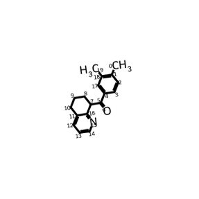 Cc1ccc(C(=O)C2CCCc3cccnc32)cc1C